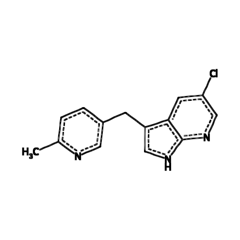 Cc1ccc(Cc2c[nH]c3ncc(Cl)cc23)cn1